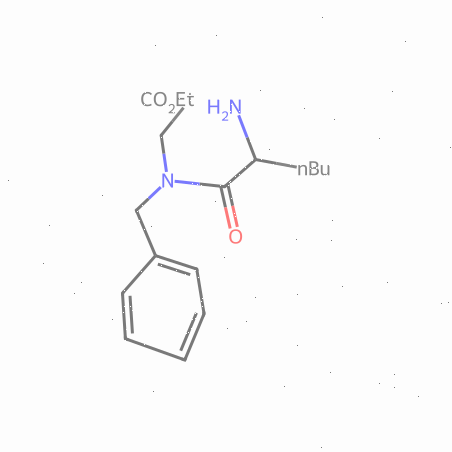 CCCCC(N)C(=O)N(CC(=O)OCC)Cc1ccccc1